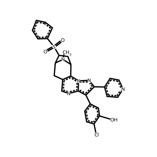 CN1C2CC(S(=O)(=O)c3ccccc3)C1Cc1cnc3c(-c4ccc(Cl)c(O)c4)c(-c4ccncc4)nn3c12